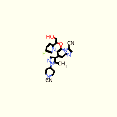 Cc1c(-c2cc(OC(CO)c3ccc(F)cn3)n3c(C#N)cnc3c2)cnn1C1CCN(C#N)CC1